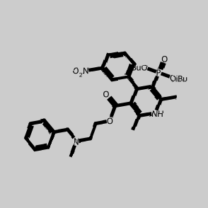 CC1=C(C(=O)OCCN(C)Cc2ccccc2)C(c2cccc([N+](=O)[O-])c2)C(P(=O)(OCC(C)C)OCC(C)C)=C(C)N1